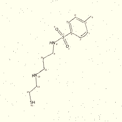 Cc1ccc(S(=O)(=O)NCCCNCCS)cc1